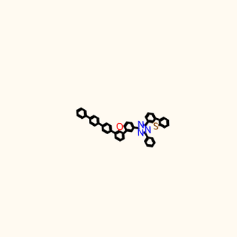 c1ccc(-c2ccc(-c3ccc(-c4cccc5c4oc4ccc(-c6nc(-c7ccccc7)nc(-c7cccc8c7sc7ccccc78)n6)cc45)cc3)cc2)cc1